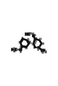 COc1cccc([C@H]2CN(C)CC[S+]2[O-])c1.Cl